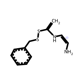 C=C(N/C=C\N)SSCc1ccccc1